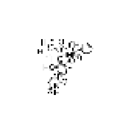 CC(C)OC(=O)C(C)NP(=O)(OC[C@@]1(F)O[C@@H](n2ccc(=O)[nH]c2=O)[C@H](O)[C@@H]1O)Oc1ccccc1